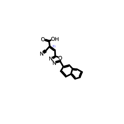 N#C/C(=C\c1nnc(-c2ccc3ccccc3c2)o1)C(=O)O